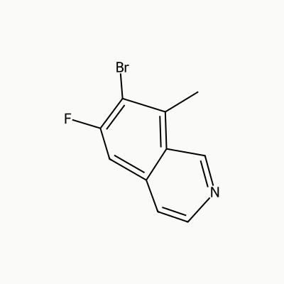 Cc1c(Br)c(F)cc2ccncc12